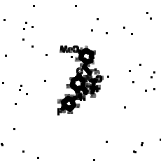 COc1cccc([C@H](Oc2ccc3c(cnn3-c3ccc(F)cc3)c2)[C@H](C)NC(=O)C(C)(F)F)c1